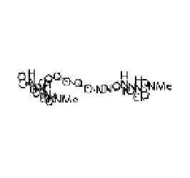 CNC(=O)c1ccccc1Nc1nc(Nc2ccc(N3CCN(CCOCCOCCOCCOc4ccc5c(c4)CN(C(=O)[C@@H](NC(=O)[C@H](C)NC)C(C)(C)C)[C@H](C(=O)N[C@@H]4CCCc6ccccc64)C5)CC3)cc2)ncc1Cl